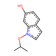 CC(C)On1ccc2ccc(O)cc21